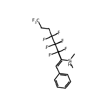 C[SiH](C)C(=Cc1ccccc1)C(F)(F)C(F)(F)C(F)(F)CCC(F)(F)F